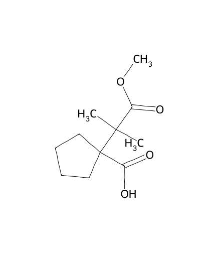 COC(=O)C(C)(C)C1(C(=O)O)CCCC1